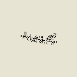 N[C@@H](CCC(=O)N[C@@H](CCC(=O)N[C@@H](CCC(=O)N[C@@H](CCC(=O)N[C@@H](CCC(=O)O)C(=O)N[C@@H](CCC(=O)O)C(=O)O)C(=O)O)C(=O)O)C(=O)O)C(=O)O